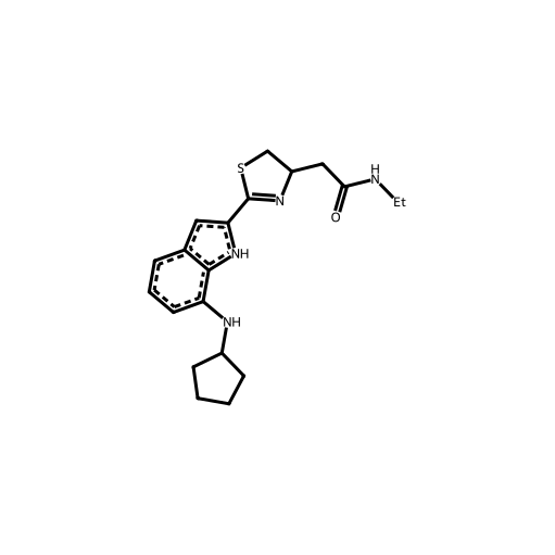 CCNC(=O)CC1CSC(c2cc3cccc(NC4CCCC4)c3[nH]2)=N1